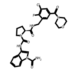 NC(=O)n1cc(NC(=O)N2CCC[C@H]2C(=O)NCc2cc(C(=O)N3CCOCC3)cc(Cl)c2F)c2ccccc21